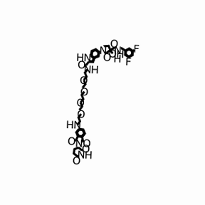 O=C1CCC(N2C(=O)c3ccc(NCCOCCOCCOCCOCCNC(=O)c4cc5cc(N6CCC(O)(C(=O)NCc7cc(F)cc(F)c7)C6=O)ccc5[nH]4)cc3C2=O)C(=O)N1